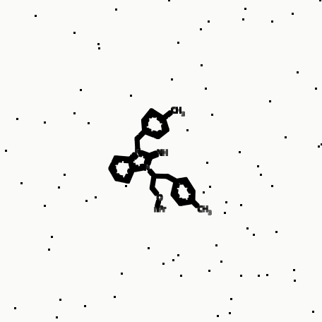 CCCOCC(Cc1ccc(C)cc1)n1c(=N)n(Cc2ccc(C)cc2)c2ccccc21